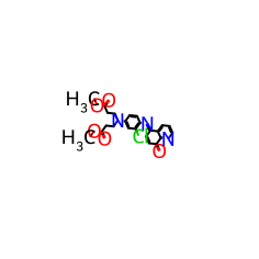 COC(=O)CCN(CCC(=O)OC)c1ccc(N=C2C=CC(=O)c3ncccc32)c(Cl)c1